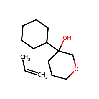 C=CC.OC1(C2CCCCC2)CCCOC1